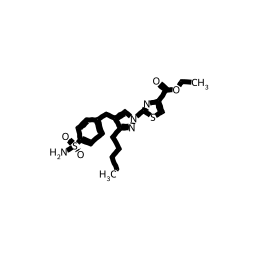 CCCCCc1nn(-c2nc(C(=O)OCC)cs2)cc1Cc1ccc(S(N)(=O)=O)cc1